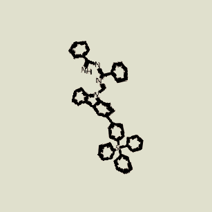 N=C(/N=C(\N=C\n1c2ccccc2c2cc(-c3ccc([Si](c4ccccc4)(c4ccccc4)c4ccccc4)cc3)ccc21)c1ccccc1)c1ccccc1